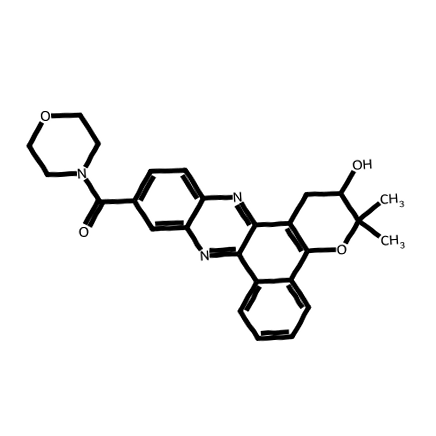 CC1(C)Oc2c(c3nc4ccc(C(=O)N5CCOCC5)cc4nc3c3ccccc23)CC1O